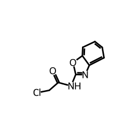 O=C(CCl)Nc1nc2ccccc2o1